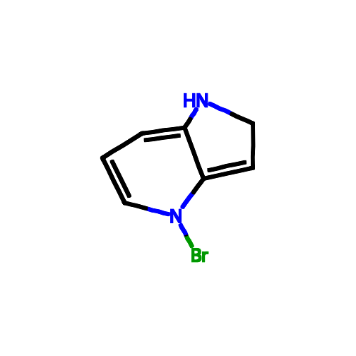 BrN1C=CC=C2NCC=C21